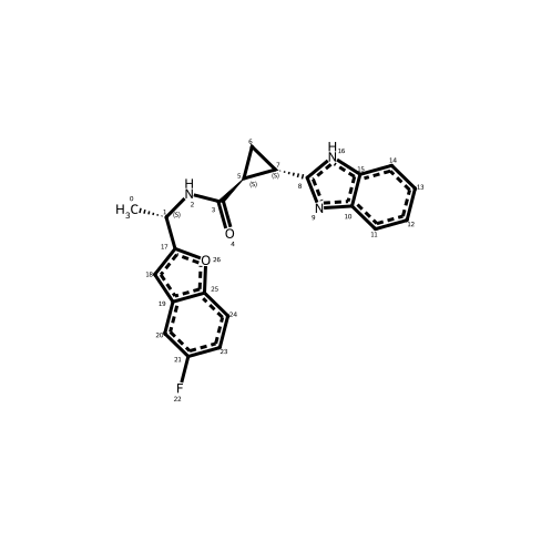 C[C@H](NC(=O)[C@H]1C[C@@H]1c1nc2ccccc2[nH]1)c1cc2cc(F)ccc2o1